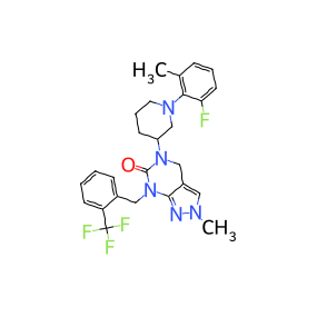 Cc1cccc(F)c1N1CCCC(N2Cc3cn(C)nc3N(Cc3ccccc3C(F)(F)F)C2=O)C1